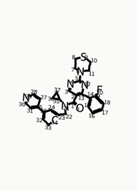 O=C(c1cnc(N2CCSCC2)nc1-c1ccccc1F)N(CC1=CC(c2ccncc2)=CCC1)C1CC1